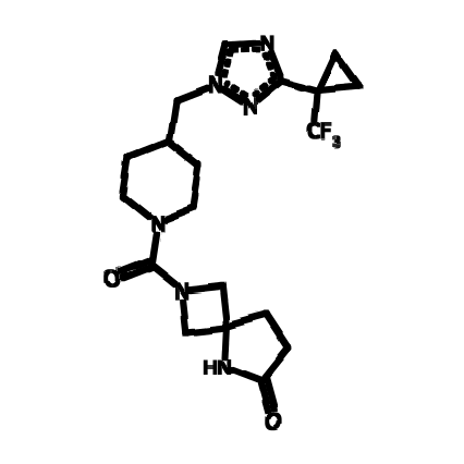 O=C1CCC2(CN(C(=O)N3CCC(Cn4cnc(C5(C(F)(F)F)CC5)n4)CC3)C2)N1